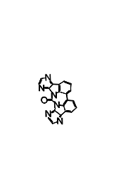 O=c1n2c3nccnc3c3cccc(c4cccc5c6nccnc6n1c45)c32